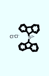 [Cl-].[Cl-].c1ccc2c(c1)-c1ccccc1[CH]2[Ti+2][CH]1c2ccccc2-c2ccccc21